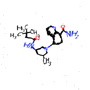 C[C@H]1C[C@@H](NC(=O)CC(C)(C)C)CN(c2ccc(C(N)=O)c3ncccc23)C1